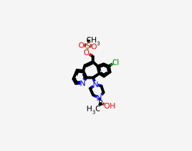 CB(O)N1CCN(C2c3ccc(Cl)cc3C(COS(C)(=O)=O)=Cc3cccnc32)CC1